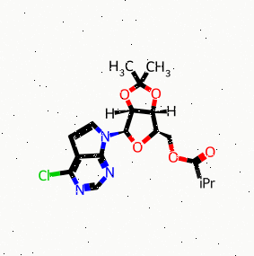 CC(C)C(=O)OC[C@H]1O[C@@H](n2ccc3c(Cl)ncnc32)[C@@H]2OC(C)(C)O[C@@H]21